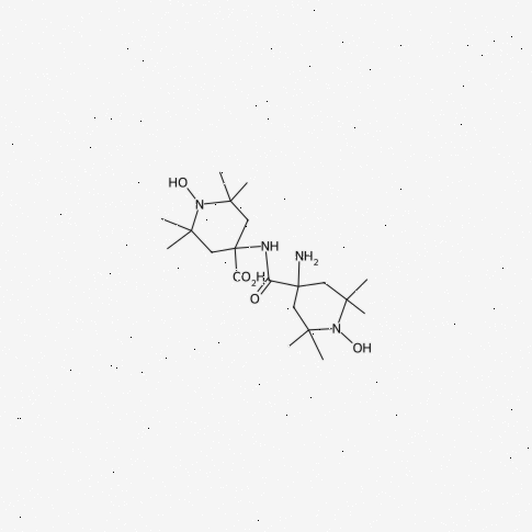 CC1(C)CC(N)(C(=O)NC2(C(=O)O)CC(C)(C)N(O)C(C)(C)C2)CC(C)(C)N1O